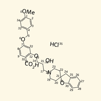 COc1ccc(COc2ccc(C(=O)O)c(OC[C@H](O)CN3CCC4(CC3)Cc3ccccc3O4)c2)cc1.Cl